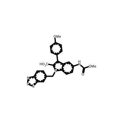 COC(=O)Nc1ccc2c(c1)c(-c1ccc(OC)cc1)c(C(=O)O)n2Cc1ccc2nsnc2c1